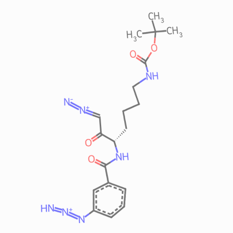 CC(C)(C)OC(=O)NCCCC[C@H](NC(=O)c1cccc(N=[N+]=N)c1)C(=O)C=[N+]=[N-]